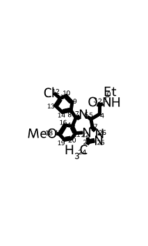 CCNC(=O)CC1N=C(c2ccc(Cl)cc2)c2cc(OC)ccc2-n2c(C)nnc21